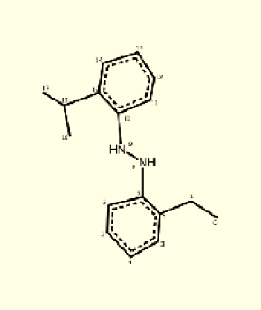 CCc1ccccc1NNc1ccccc1C(C)C